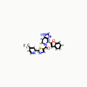 O=C(c1cnc(-c2cc(C(F)(F)F)ccn2)s1)N1CCc2[nH]cnc2[C@H]1c1cc2ccccc2o1